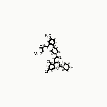 COCC(C)NCc1cc(C(F)(F)F)ccc1N1CCN(C(=O)CC(NC(=O)N2CCNCC2)c2ccc(Cl)cc2Cl)CC1